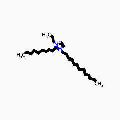 CCCCCCCCCCCCCn1cc[n+](CCC)c1CCCCCCCCC